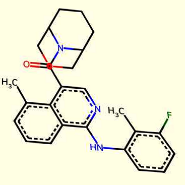 Cc1c(F)cccc1Nc1ncc(C(=O)N2C3CCCC2COC3)c2c(C)cccc12